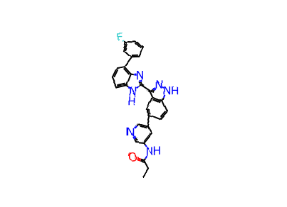 CCC(=O)Nc1cncc(-c2ccc3[nH]nc(-c4nc5c(-c6cccc(F)c6)cccc5[nH]4)c3c2)c1